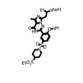 CCCCCC(CC)Cc1nc(C)c2c(=O)[nH]c(-c3cc(S(=O)(=O)N4CCC(C(=O)OCC)CC4)ccc3OCCC)nn12